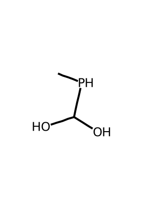 CPC(O)O